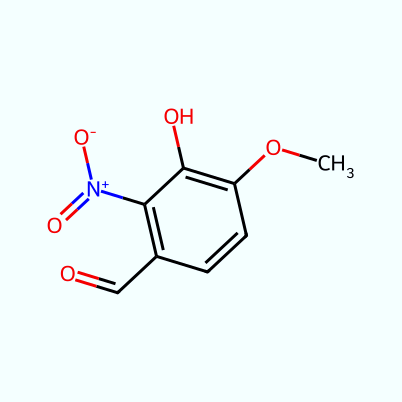 COc1ccc(C=O)c([N+](=O)[O-])c1O